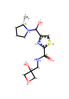 C[C@H]1CCCN1C(O)c1csc(C(=O)NCC2(O)COC2)n1